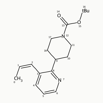 C/C=C\c1cccnc1C1CCN(C(=O)OC(C)(C)C)CC1